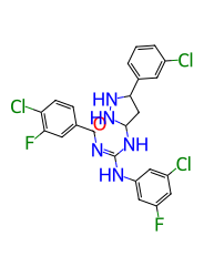 O=C(/N=C(/Nc1cc(F)cc(Cl)c1)NC1CC(c2cccc(Cl)c2)NN1)c1ccc(Cl)c(F)c1